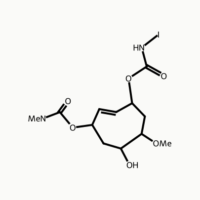 CNC(=O)OC1/C=C/C(OC(=O)NI)CC(OC)C(O)C1